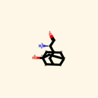 N[C@H](C=O)C12CC3CC(CC(O)(C3)C1)C2